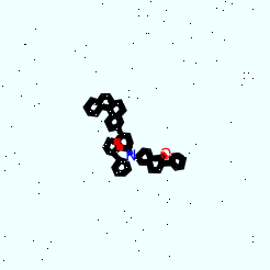 c1ccc(-c2ccccc2N(c2ccc(-c3ccc4c(ccc5ccc6ccccc6c54)c3)cc2)c2ccc3c(ccc4c5ccccc5oc34)c2)cc1